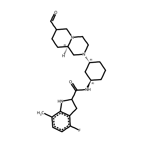 Cc1ccc(F)c2c1NC(C(=O)N[C@@H]1CCC[C@@H](N3CCN4CC(C=O)CC[C@@H]4C3)C1)C2